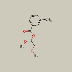 CCOCC(OCC)OC(=O)c1cccc(C)c1